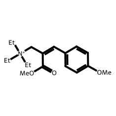 CC[N+](CC)(CC)C/C(=C/c1ccc(OC)cc1)C(=O)OC